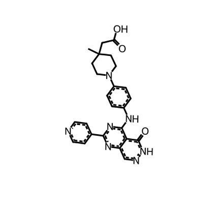 CC1(CC(=O)O)CCN(c2ccc(Nc3nc(-c4ccncc4)nc4cn[nH]c(=O)c34)cc2)CC1